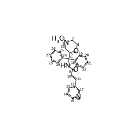 CN1CCOC(C(NC(=O)C=Cc2cccnc2)(c2ccccc2)c2ccccc2)C1